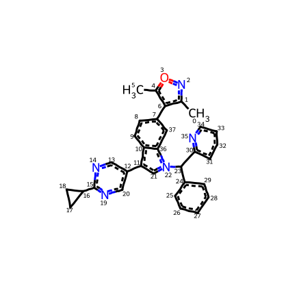 Cc1noc(C)c1-c1ccc2c(-c3cnc(C4CC4)nc3)cn(C(c3ccccc3)c3ccccn3)c2c1